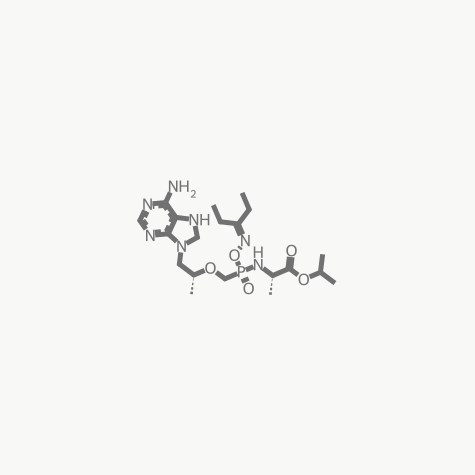 CCC(CC)=NOP(=O)(CO[C@H](C)CN1CNc2c(N)ncnc21)N[C@@H](C)C(=O)OC(C)C